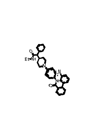 CCNC(=O)C(c1ccccc1)C1CCN(c2ccc(NC(=O)c3ccccc3-c3cccc(N)c3)cc2)CC1